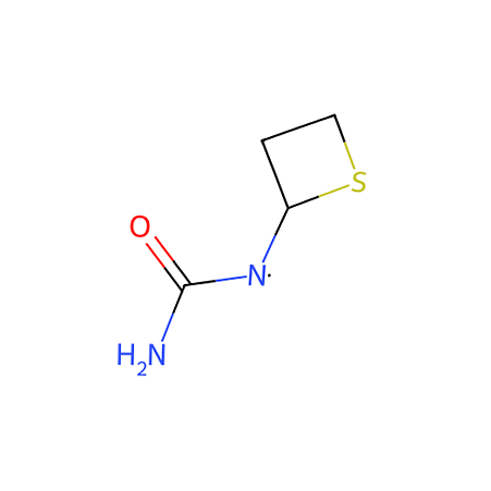 NC(=O)[N]C1CCS1